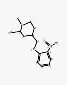 CN1CCC(COc2ccccc2[N+](=O)[O-])CC1F